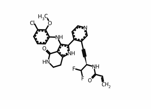 C=CC(=O)N[C@H](C#Cc1cnccc1-c1[nH]c2c(c1Nc1cccc(Cl)c1OC)C(=O)NCC2)C(F)F